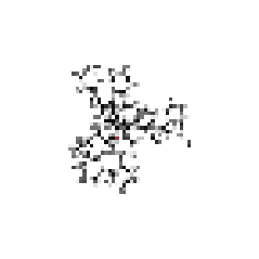 CC1(C)c2ccccc2-c2ccc(N(c3ccc4c(c3)-c3ccccc3-c3ccccc3O4)c3ccc4c(c3)C3(c5ccccc5-c5ccccc5-4)c4ccccc4-c4cc5sc6ccccc6c5cc43)cc21